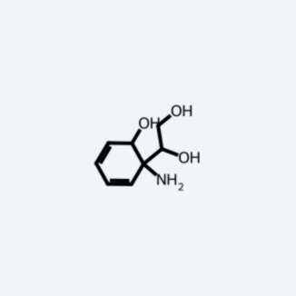 NC1(C(O)CO)C=CC=CC1O